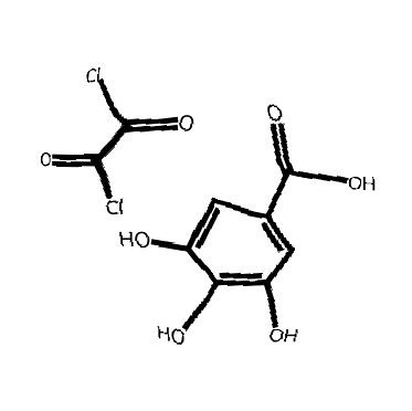 O=C(Cl)C(=O)Cl.O=C(O)c1cc(O)c(O)c(O)c1